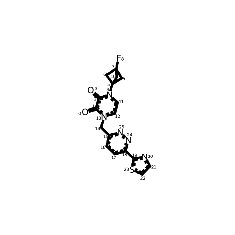 O=c1c(=O)n(C23CC(F)(C2)C3)ccn1Cc1ccc(-c2nccs2)nn1